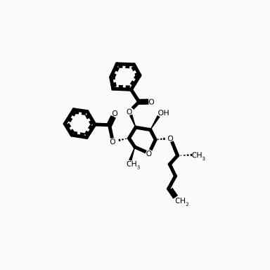 C=CCC[C@@H](C)O[C@@H]1O[C@@H](C)[C@H](OC(=O)c2ccccc2)[C@@H](OC(=O)c2ccccc2)[C@H]1O